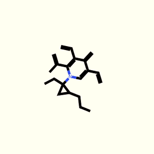 C=CC1=CN(C2(CC)CC2CCC)C(C(=C)C)=C(C=C)C1=C